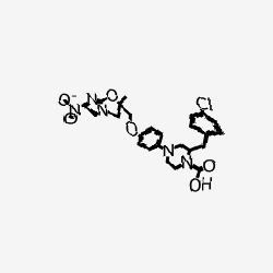 CC1(COc2ccc(N3CCN(C(=O)O)C(Cc4ccc(Cl)cc4)C3)cc2)Cn2cc([N+](=O)[O-])nc2O1